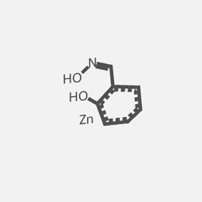 O/N=C\c1ccccc1O.[Zn]